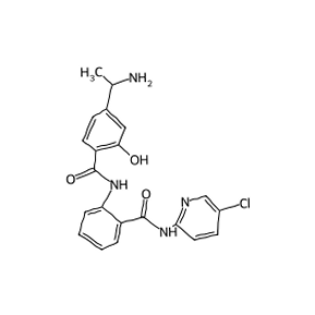 CC(N)c1ccc(C(=O)Nc2ccccc2C(=O)Nc2ccc(Cl)cn2)c(O)c1